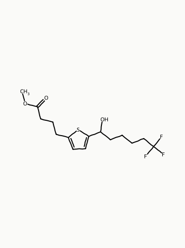 COC(=O)CCCc1ccc(C(O)CCCCC(F)(F)F)s1